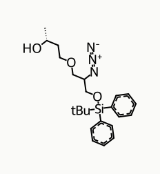 C[C@@H](O)CCOCC(CO[Si](c1ccccc1)(c1ccccc1)C(C)(C)C)N=[N+]=[N-]